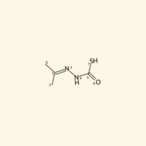 CC(C)=NNC(=O)S